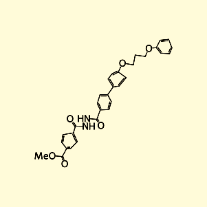 COC(=O)c1ccc(C(=O)NNC(=O)c2ccc(-c3ccc(OCCCOc4ccccc4)cc3)cc2)cc1